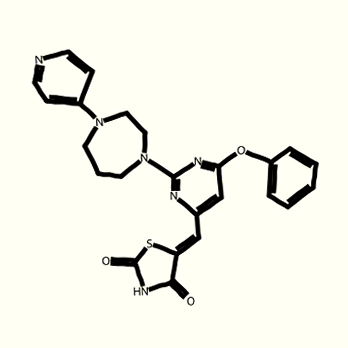 O=C1NC(=O)C(=Cc2cc(Oc3ccccc3)nc(N3CCCN(c4ccncc4)CC3)n2)S1